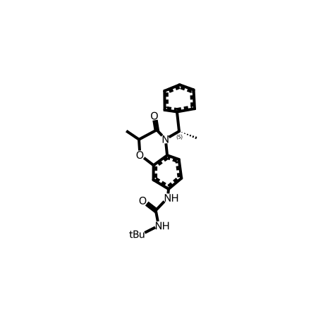 CC1Oc2cc(NC(=O)NC(C)(C)C)ccc2N([C@@H](C)c2ccccc2)C1=O